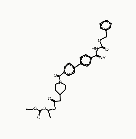 CCOC(=O)OC(C)OC(=O)CC1CCN(C(=O)c2ccc(-c3ccc(C(=N)NC(=O)OCc4ccccc4)cc3)cc2)CC1